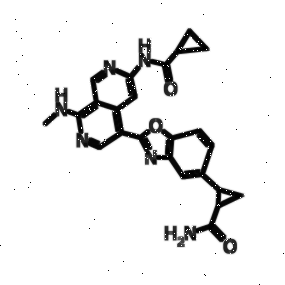 CNc1ncc(-c2nc3cc(C4CC4C(N)=O)ccc3o2)c2cc(NC(=O)C3CC3)ncc12